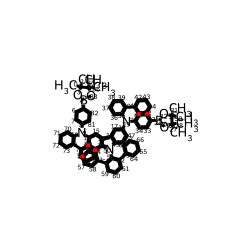 CC1(C)OB(c2ccc(N(c3ccc4c(c3)c3cc(N(c5ccc(B6OC(C)(C)C(C)(C)O6)cc5)c5ccccc5-c5ccccc5)ccc3n4-c3c(-c4ccccc4)cccc3-c3ccccc3)c3ccccc3-c3ccccc3)cc2)OC1(C)C